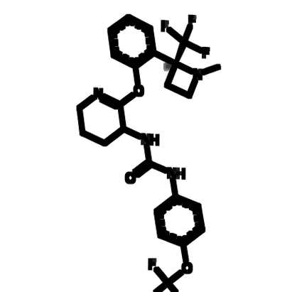 CN1CC[C@@]1(c1ccccc1OC1=NCCCC1NC(=O)Nc1ccc(OC(F)(F)F)cc1)C(F)(F)F